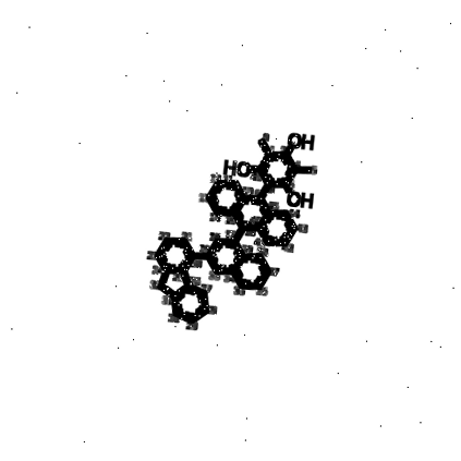 Cc1c(O)c(C)c(O)c(-c2c3ccccc3c(-c3cc(-c4cccc5c4-c4ccccc4C5)cc4ccccc34)c3ccccc23)c1O